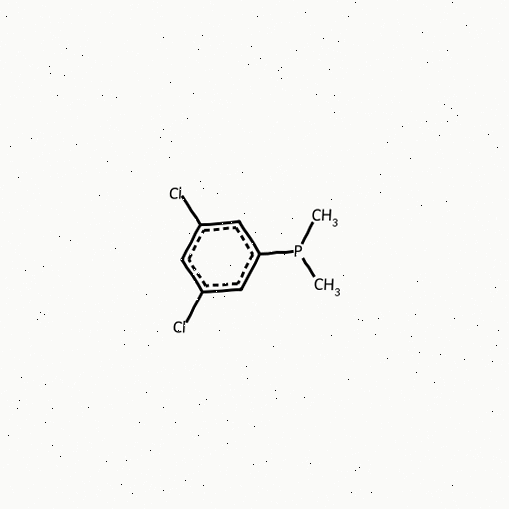 CP(C)c1cc(Cl)cc(Cl)c1